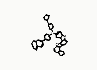 c1ccc(-c2ccc(N(c3ccc(-c4ccc5ccccc5c4)cc3)c3ccc4sc5ccc6c(oc7ccc8ccccc8c76)c5c4c3)cc2)cc1